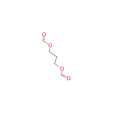 O=COCCCOC=O